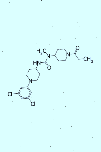 CCC(=O)N1CCC(N(C)C(=O)NC2CCN(c3cc(Cl)cc(Cl)c3)CC2)CC1